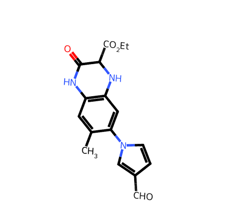 CCOC(=O)C1Nc2cc(-n3ccc(C=O)c3)c(C)cc2NC1=O